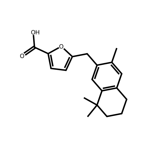 Cc1cc2c(cc1Cc1ccc(C(=O)O)o1)C(C)(C)CCC2